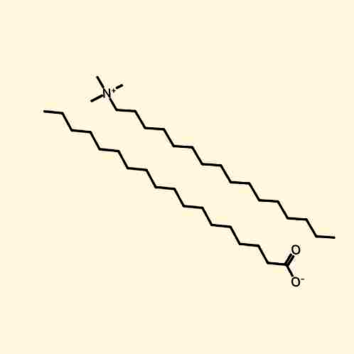 CCCCCCCCCCCCCCCCCC(=O)[O-].CCCCCCCCCCCCCCCC[N+](C)(C)C